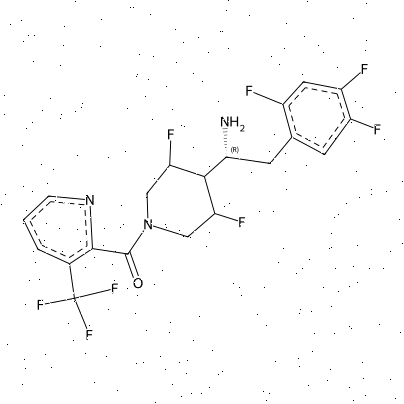 N[C@H](Cc1cc(F)c(F)cc1F)C1C(F)CN(C(=O)c2ncccc2C(F)(F)F)CC1F